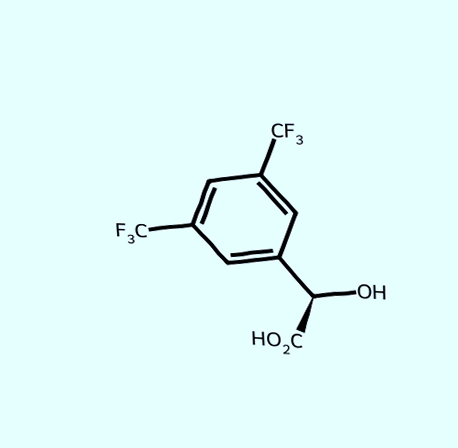 O=C(O)[C@H](O)c1cc(C(F)(F)F)cc(C(F)(F)F)c1